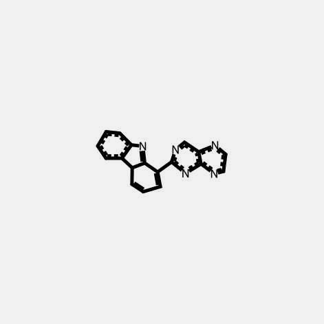 C1=CC2C(=Nc3ccccc32)C(c2ncc3nccnc3n2)=C1